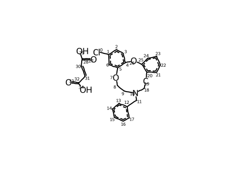 Clc1ccc2c(c1)OCCN(Cc1ccccc1)CCc1ccccc1O2.O=C(O)C=CC(=O)O